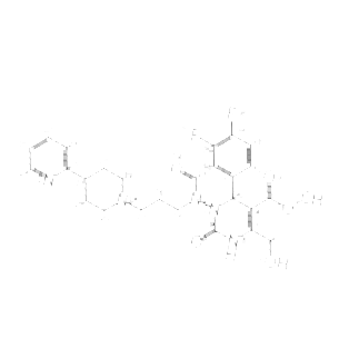 COC(=O)C1=C(CO)NC(=O)N(N(C=O)CCCN2CCC(c3ccccn3)CC2)C1c1ccc(F)c(F)c1